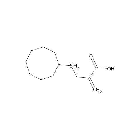 C=C(C[SiH2]C1CCCCCCC1)C(=O)O